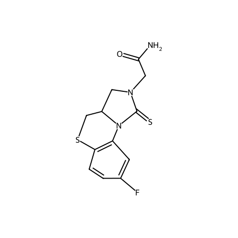 NC(=O)CN1CC2CSc3ccc(F)cc3N2C1=S